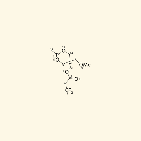 COCC1(COC(=O)CC(F)(F)F)COP(C)OC1